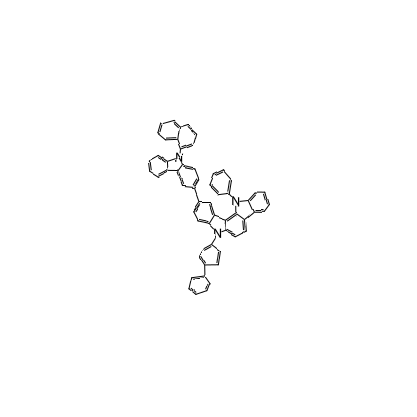 c1ccc(-c2ccc(-n3c4ccc(-c5ccc6c(c5)c5ccccc5n6-c5cccc6ccccc56)cc4c4c3ccc3c5ccccc5n(-c5ccccc5)c34)cc2)cc1